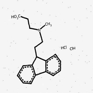 CN(CCC(=O)O)CCC1c2ccccc2-c2ccccc21.Cl.Cl